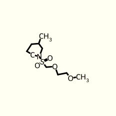 COCCOCS(=O)(=O)N1CCCC(C)C1